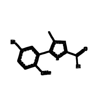 CCC(=O)c1cc(C)c(-c2cc(CC)ccc2OC)s1